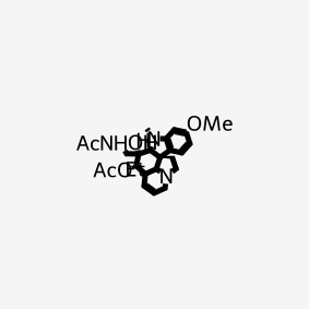 CC[C@]12C=CCN3CC[C@@]4(c5ccc(OC)cc5N(C)[C@H]4C(O)(CNC(C)=O)[C@@H]1OC(C)=O)C32